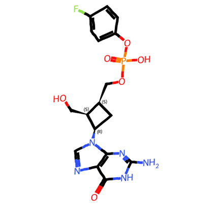 Nc1nc2c(ncn2[C@@H]2C[C@H](COP(=O)(O)Oc3ccc(F)cc3)[C@@H]2CO)c(=O)[nH]1